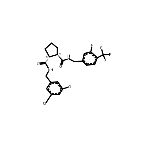 O=C(NCc1cc(Cl)cc(Cl)c1)[C@@H]1CCC[C@H]1C(=O)NCc1ccc(C(F)(F)F)c(F)c1